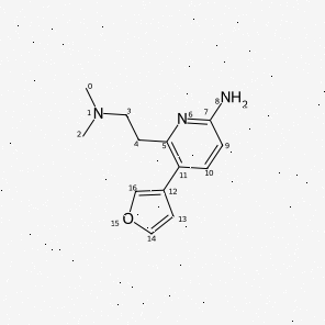 CN(C)CCc1nc(N)ccc1-c1ccoc1